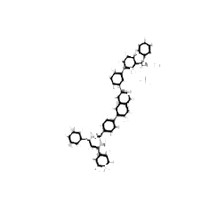 CC1(C)c2ccccc2-c2ccc(-c3cccc(-c4ccc5ccc(-c6ccc(-c7nc(-c8ccccc8)cc(-c8ccccc8)n7)cc6)cc5c4)c3)cc21